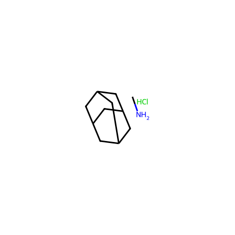 C1C2CC3CC1CC(C2)C3.CN.Cl